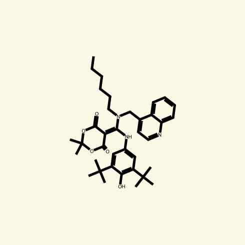 CCCCCCN(Cc1ccnc2ccccc12)C(Nc1cc(C(C)(C)C)c(O)c(C(C)(C)C)c1)=C1C(=O)OC(C)(C)OC1=O